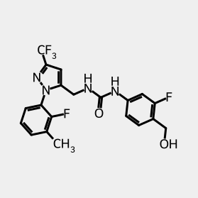 Cc1cccc(-n2nc(C(F)(F)F)cc2CNC(=O)Nc2ccc(CO)c(F)c2)c1F